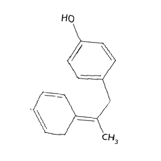 CC(Cc1ccc(O)cc1)=C1C=C[C]=CC1